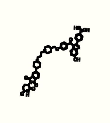 O=C1CCC(N2C(=O)c3ccc(C4CCN(CCCN5CCC(COc6ccc(C(=O)c7c(-c8ccc(B(O)O)cc8)sc8cc(O)ccc78)cc6)CC5)CC4)cc3C2=O)C(=O)N1